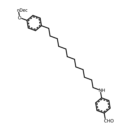 CCCCCCCCCCOc1ccc(CCCCCCCCCCCCNc2ccc(C=O)cc2)cc1